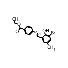 CCOC(=O)c1ccc(/N=C/c2cc(C)cc(Br)c2O)cc1